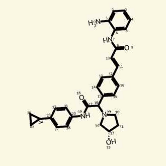 Nc1ccccc1NC(=O)C=Cc1ccc(C(C(=O)Nc2ccc(C3CC3)cc2)N2CC[C@H](O)C2)cc1